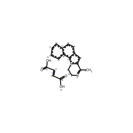 CC1=NCCn2c1cc1ccc3ccccc3c12.O=C(O)/C=C/C(=O)O